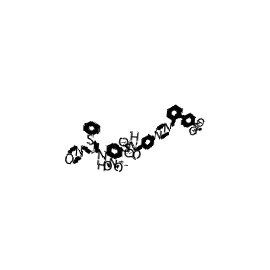 CS(=O)(=O)c1ccc(-c2ccccc2CN2CCN(c3ccc(C(=O)NS(=O)(=O)c4ccc(N[C@H](CCN5CCOCC5)CSc5ccccc5)c([N+](=O)[O-])c4)cc3)CC2)cc1